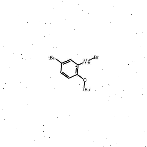 CC(C)(C)Oc1ccc(C(C)(C)C)c[c]1[Mg][Br]